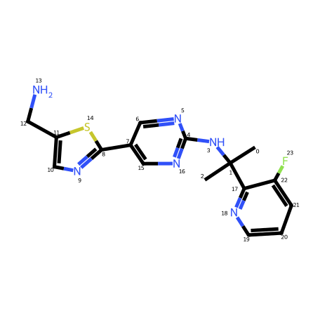 CC(C)(Nc1ncc(-c2ncc(CN)s2)cn1)c1ncccc1F